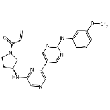 C=CC(=O)N1CC[C@H](Nc2cncc(-c3cnc(Nc4cccc(OC(F)(F)F)c4)nc3)n2)C1